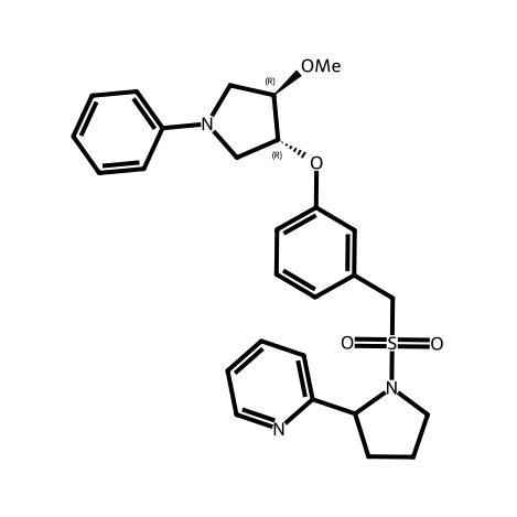 CO[C@@H]1CN(c2ccccc2)C[C@H]1Oc1cccc(CS(=O)(=O)N2CCCC2c2ccccn2)c1